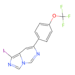 FC(F)(F)Oc1ccc(-c2cc3c(I)ncn3cn2)cc1